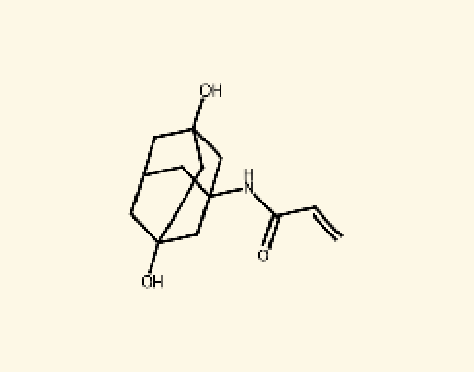 C=CC(=O)NC12CC3CC(O)(CC(O)(C3)C1)C2